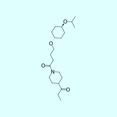 CCC(=O)C1CCN(C(=O)CCCO[C@H]2CC[C@H](OC(C)C)CC2)CC1